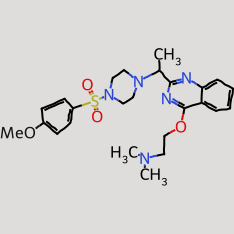 COc1ccc(S(=O)(=O)N2CCN(C(C)c3nc(OCCN(C)C)c4ccccc4n3)CC2)cc1